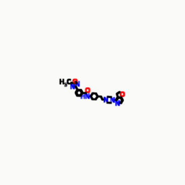 Cc1nc(-c2cccc(C(=O)NC3CCC(CCN4CCN(c5nccc6c5CCO6)CC4)CC3)c2)no1